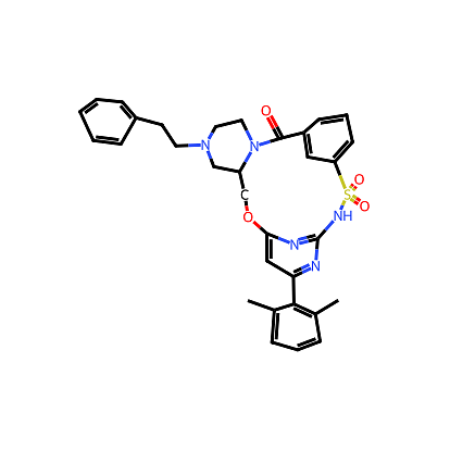 Cc1cccc(C)c1-c1cc2nc(n1)NS(=O)(=O)c1cccc(c1)C(=O)N1CCN(CCc3ccccc3)CC1CO2